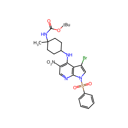 CC1(NC(=O)OC(C)(C)C)CCC(Nc2c([N+](=O)[O-])cnc3c2c(Br)cn3S(=O)(=O)c2ccccc2)CC1